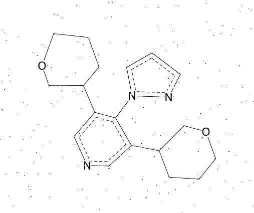 [c]1ncc(C2CCCOC2)c(-n2cccn2)c1C1CCCOC1